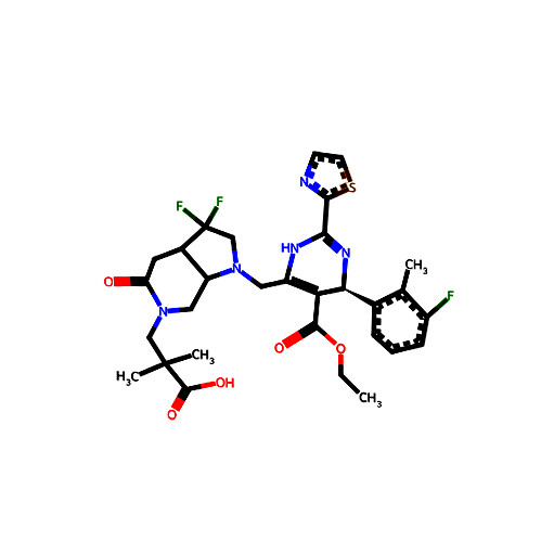 CCOC(=O)C1=C(CN2CC(F)(F)C3CC(=O)N(CC(C)(C)C(=O)O)CC32)NC(c2nccs2)=N[C@H]1c1cccc(F)c1C